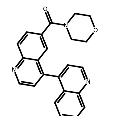 O=C(c1ccc2nccc(-c3ccnc4ccccc34)c2c1)N1CCOCC1